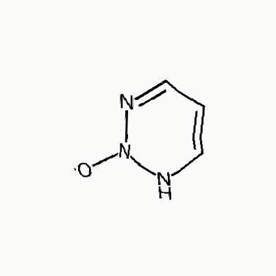 [O]N1N=CC=CN1